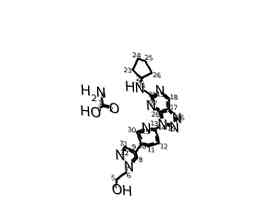 NC(=O)O.OCCn1cc(-c2ccc(-n3nnc4cnc(NC5CCCC5)nc43)nc2)cn1